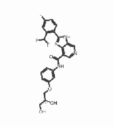 O=C(Nc1cccc(OC[C@@H](O)CO)c1)c1cncc2[nH]c(-c3ccc(F)cc3C(F)F)nc12